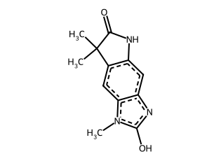 Cn1c(O)nc2cc3c(cc21)C(C)(C)C(=O)N3